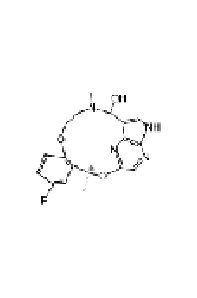 C[C@H]1Oc2cnc3[nH]cc(c3n2)C(O)N(C)CCOc2ccc(F)cc21